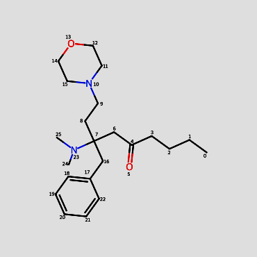 CCCCC(=O)CC(CCN1CCOCC1)(Cc1ccccc1)N(C)C